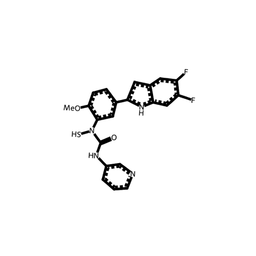 COc1ccc(-c2cc3cc(F)c(F)cc3[nH]2)cc1N(S)C(=O)Nc1cccnc1